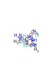 CCC1CNc2nc(OCC34CCCN3CC3(C4)CC3(F)F)nc3c(F)c(-c4c(F)c(N)nc(C)c4C(F)(F)F)nc(c23)O[C@@H](C(F)(F)F)CCN1